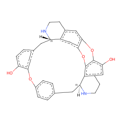 Oc1ccc2cc1Oc1ccc(cc1)C[C@@H]1NCCc3cc(O)c4c(c31)Oc1cc3c(cc1O4)CCN[C@H]3C2